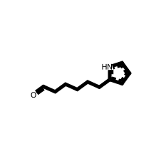 O=CCCCCCc1ccc[nH]1